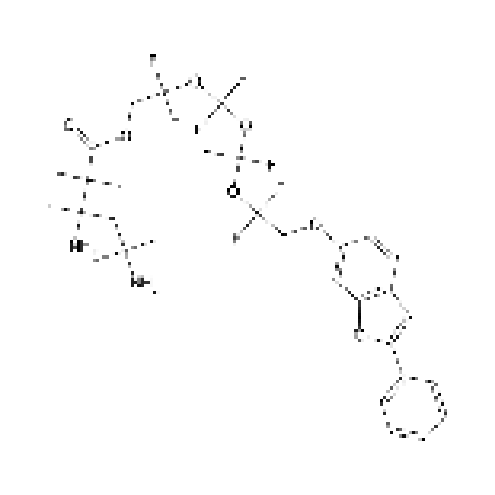 CC(C)(N)CC(C)(N)C(C)(C)C(=O)OCC(F)(F)OC(F)(F)OC(F)(F)OC(F)(F)COc1ccc2cc(-c3ccccc3)oc2c1